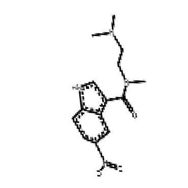 CN(C)CCN(C)C(=O)c1c[nH]c2ccc([N+](=O)[O-])cc12